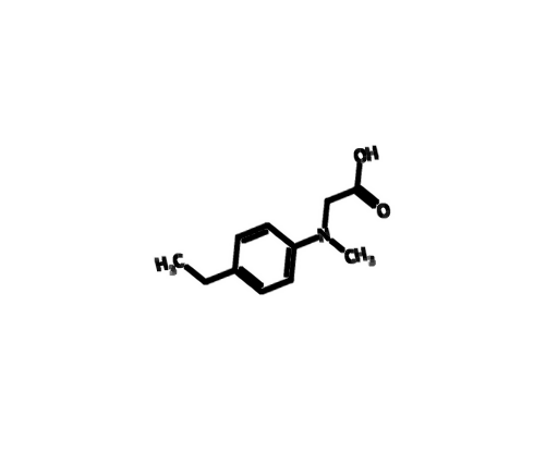 CCc1ccc(N(C)CC(=O)O)cc1